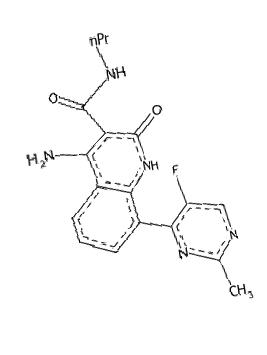 CCCNC(=O)c1c(N)c2cccc(-c3nc(C)ncc3F)c2[nH]c1=O